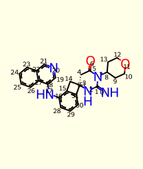 N=C1N[C@]2(CC(=O)N1C1CCOCC1)Cc1c(Nc3cncc4ccccc34)cccc12